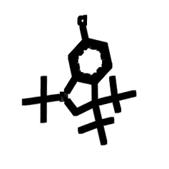 CC(C)(C)N1CC(C(C)(C)C)(C(C)(C)C)c2ccc(Cl)cc21